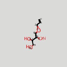 C=CCOCC(O)C(O)CO